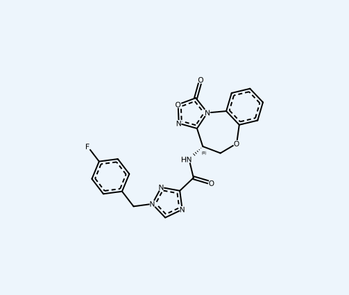 O=C(N[C@H]1COc2ccccc2-n2c1noc2=O)c1ncn(Cc2ccc(F)cc2)n1